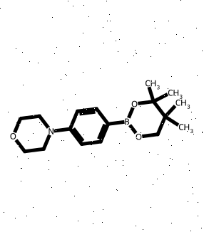 CC1(C)COB(c2ccc(N3CCOCC3)cc2)OC1(C)C